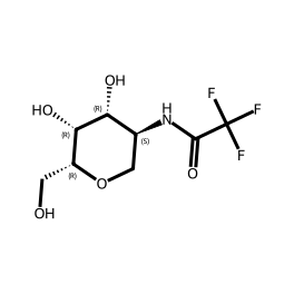 O=C(N[C@H]1CO[C@H](CO)[C@H](O)[C@@H]1O)C(F)(F)F